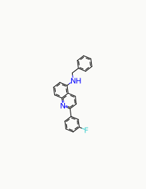 Fc1cccc(-c2ccc3c(NCc4ccccc4)cccc3n2)c1